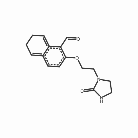 O=Cc1c(OCCN2CCNC2=O)ccc2c1=CCCC=2